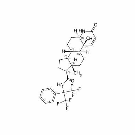 C[C@]12C=CC(=O)N[C@@H]1CC[C@@H]1[C@@H]2CC[C@]2(C)[C@@H](C(=O)NC(c3ccccc3)(C(F)(F)F)C(F)(F)F)CC[C@@H]12